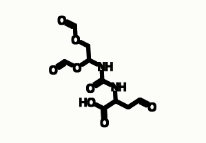 O=CCC(NC(=O)NC(COC=O)OC=O)C(=O)O